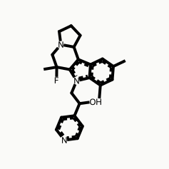 Cc1cc(C)c2c(c1)c1c(n2CC(O)c2ccncc2)C(C)(F)CN2CCCC12